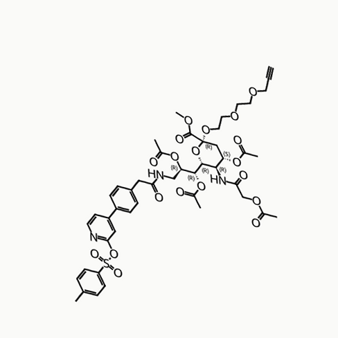 C#CCOCCOCCO[C@]1(C(=O)OC)C[C@H](OC(C)=O)[C@@H](NC(=O)COC(C)=O)[C@H]([C@H](OC(C)=O)[C@@H](CNC(=O)Cc2ccc(-c3ccnc(OS(=O)(=O)c4ccc(C)cc4)c3)cc2)OC(C)=O)O1